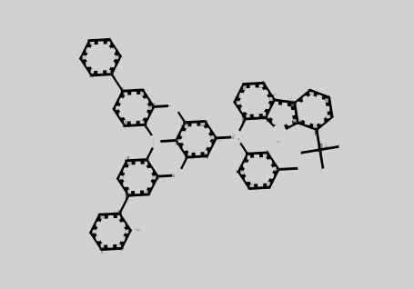 Cc1cccc(N(c2cc3c4c(c2)Oc2cc(-c5ccccc5)ccc2B4c2ccc(-c4ccccc4)cc2O3)c2cccc3c2oc2c(C(C)(C)C)cccc23)c1